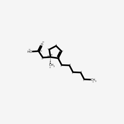 CCCCCCC1=CCC[C@]1(C)CC(=O)O